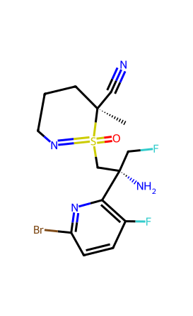 C[C@@]1(C#N)CCCN=S1(=O)C[C@@](N)(CF)c1nc(Br)ccc1F